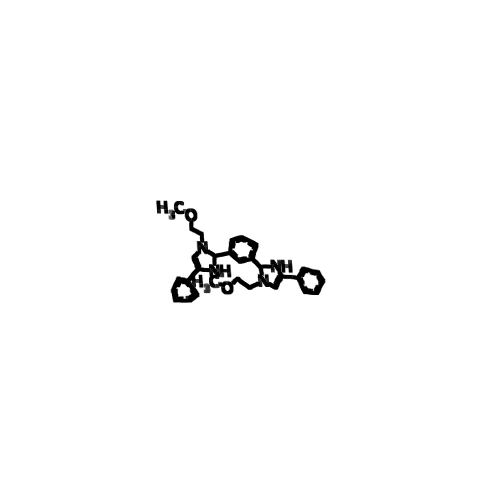 COCCN1C=C(c2ccccc2)NC1c1cccc(C2NC(c3ccccc3)=CN2CCOC)c1